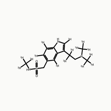 [2H]c1[nH]c2c([2H])c([2H])c(CS(=O)(=O)NC([2H])([2H])[2H])c([2H])c2c1C([2H])([2H])CN(C([2H])([2H])[2H])C([2H])([2H])[2H]